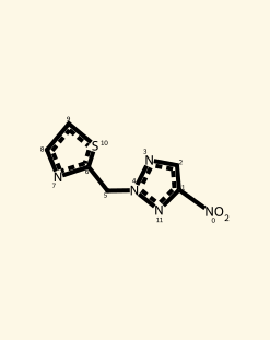 O=[N+]([O-])c1cnn(Cc2n[c]cs2)n1